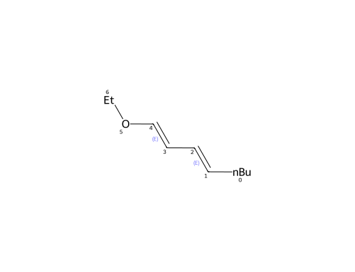 CCCC/C=C/C=C/OCC